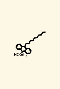 CCCCCCCCCCc1c2ccccc2c([SiH2]O)c2ccccc12